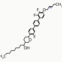 CC/C=C/COc1ccc(-c2ccc(-c3ccc(C4CCC(C(O)CCCCCCCC)CO4)c(F)c3)cc2)c(F)c1F